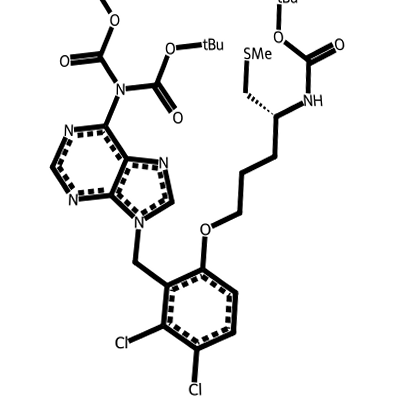 CSC[C@@H](CCCOc1ccc(Cl)c(Cl)c1Cn1cnc2c(N(C(=O)OC(C)(C)C)C(=O)OC(C)(C)C)ncnc21)NC(=O)OC(C)(C)C